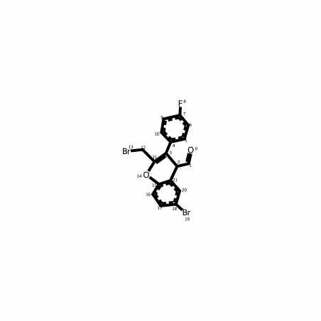 O=CC1C(c2ccc(F)cc2)=C(CBr)Oc2ccc(Br)cc21